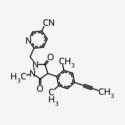 CC#Cc1cc(C)c(C2C(=O)N(C)N(Cc3ccc(C#N)cn3)C2=O)c(C)c1